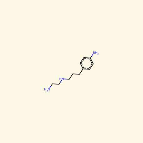 NCCNCCCc1ccc(N)cc1